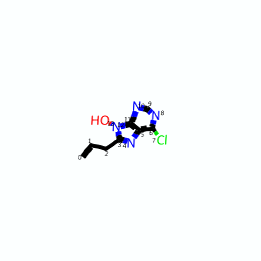 C=CCc1nc2c(Cl)ncnc2n1O